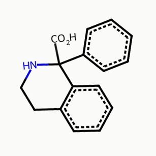 O=C(O)C1(c2ccccc2)NCCc2ccccc21